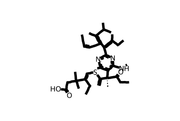 C=C(S/C=C(\CC)C(C)(C)CC(=O)O)[C@](C)(C(=O)CC)c1c(C)nc(C(=C(/C)CC)/C(/C=C\C)=C(/C)C(C)C)nc1NC